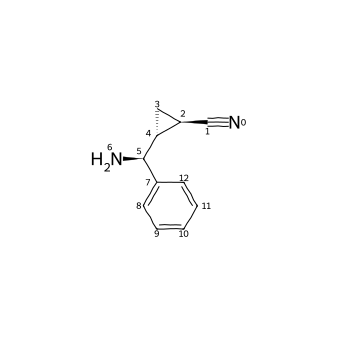 N#C[C@@H]1C[C@H]1[C@H](N)c1ccccc1